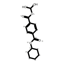 O=C(OC(O)O)c1ccc(C(=O)OC2CCCCC2)cc1